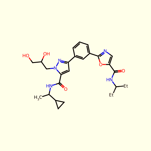 CCC(CC)NC(=O)c1cnc(-c2cccc(-c3cc(C(=O)NC(C)C4CC4)n(CC(O)CO)n3)c2)o1